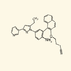 CCc1cc(-c2cccnc2)nn1-c1ccc(N)c(-c2c(OCCCC#N)ccc3ccccc23)c1